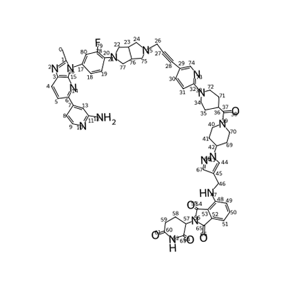 Cc1nc2ccc(-c3ccnc(N)c3)nc2n1-c1ccc(N2CC3CN(CC#Cc4ccc(N5CCC(C(=O)N6CCC(n7cc(CNc8cccc9c8C(=O)N(C8CCC(=O)NC8=O)C9=O)cn7)CC6)CC5)nc4)CC3C2)c(F)c1